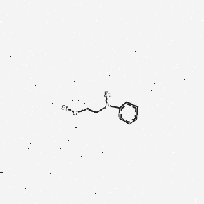 CCOCCP(CC)c1ccccc1